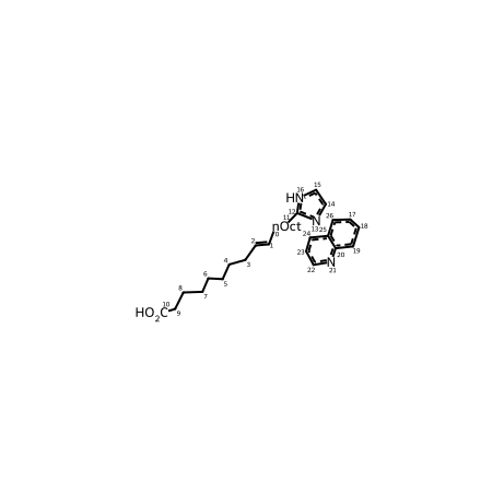 CCCCCCCC/C=C/CCCCCCCC(=O)O.Cc1ncc[nH]1.c1ccc2ncccc2c1